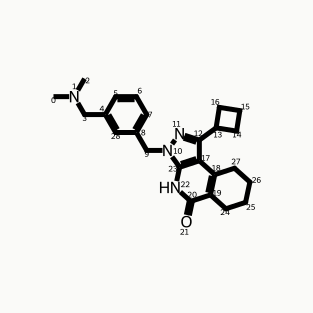 CN(C)Cc1cccc(Cn2nc(C3CCC3)c3c4c(c(=O)[nH]c32)CCCC4)c1